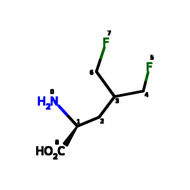 N[C@@H](CC(CF)CF)C(=O)O